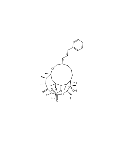 CC[C@H]1OC(=O)[C@@](C)(F)C(=O)[C@H](C)[C@@H](C)[C@@]2(C)C[C@@H](C)/C(=N\C(C)=O)[C@H](C)[C@@H](CCC/C(=C\C=C\c3ccccc3)CO2)[C@]1(C)O